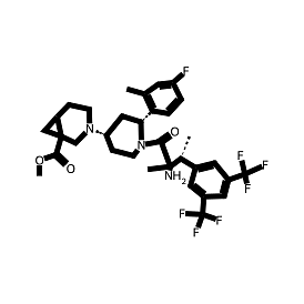 COC(=O)C12CC1CCN([C@H]1CCN(C(=O)C(C)(N)[C@H](C)c3cc(C(F)(F)F)cc(C(F)(F)F)c3)[C@@H](c3ccc(F)cc3C)C1)C2